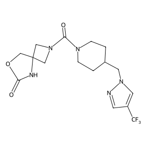 O=C1NC2(CO1)CN(C(=O)N1CCC(Cn3cc(C(F)(F)F)cn3)CC1)C2